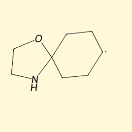 [CH]1CCC2(CC1)NCCO2